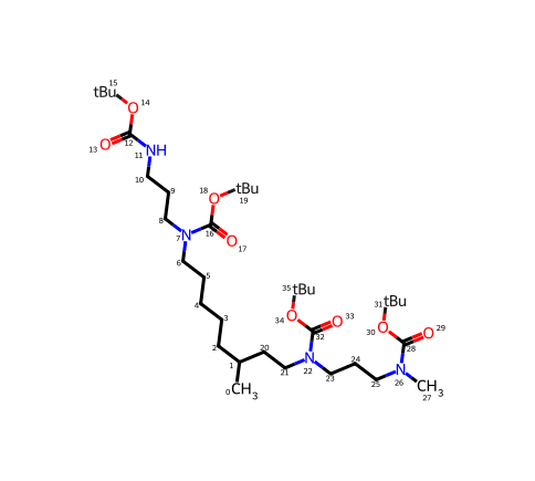 CC(CCCCCN(CCCNC(=O)OC(C)(C)C)C(=O)OC(C)(C)C)CCN(CCCN(C)C(=O)OC(C)(C)C)C(=O)OC(C)(C)C